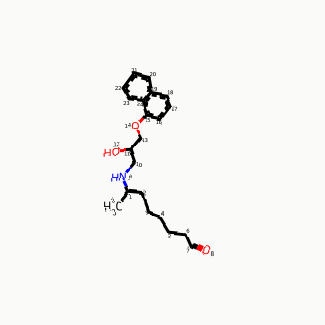 CC(CCCCC[C]=O)NCC(O)COc1cccc2ccccc12